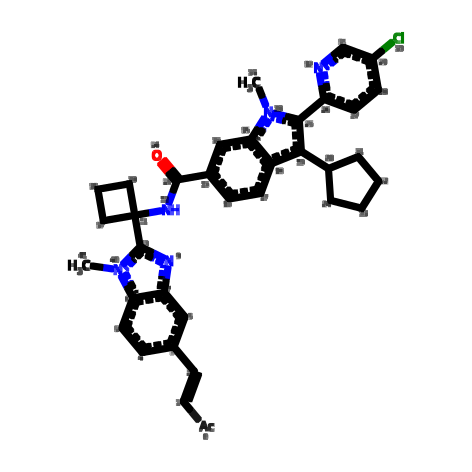 CC(=O)/C=C/c1ccc2c(c1)nc(C1(NC(=O)c3ccc4c(C5CCCC5)c(-c5ccc(Cl)cn5)n(C)c4c3)CCC1)n2C